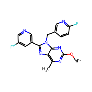 CCCOc1nc(C)c2nc(-c3cncc(F)c3)n(Cc3ccc(F)nc3)c2n1